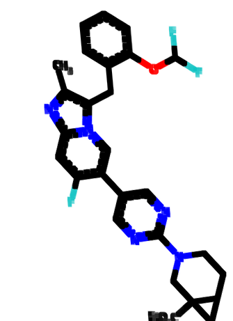 CCOC(=O)C12CC1CCN(c1ncc(-c3cn4c(Cc5ccccc5OC(F)F)c(C)nc4cc3F)cn1)C2